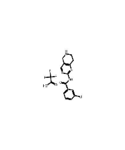 O=C(Nc1ncc2c(n1)CCNC2)c1cccc(Cl)c1.O=C(O)C(F)(F)F